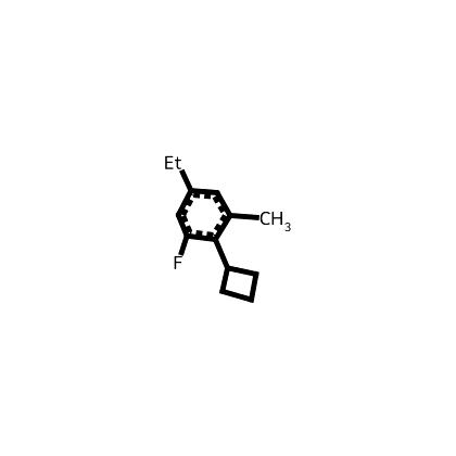 CCc1cc(C)c(C2CCC2)c(F)c1